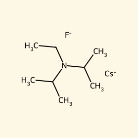 CCN(C(C)C)C(C)C.[Cs+].[F-]